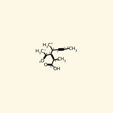 CC#CC(C)/C(C(C)=O)=C(\C)C(=O)O